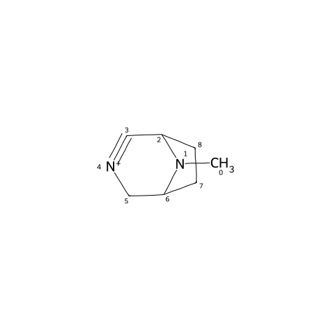 CN1C2C#[N+]CC1CC2